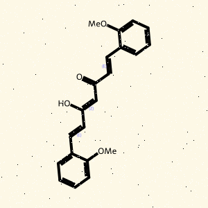 COc1ccccc1/C=C/C(=O)/C=C(O)/C=C/c1ccccc1OC